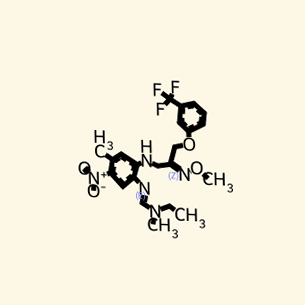 CCN(C)/C=N/c1cc([N+](=O)[O-])c(C)cc1NC/C(COc1cccc(C(F)(F)F)c1)=N/OC